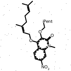 CCCC(C)COc1c(OCC=C(C)CCC=C(C)C)c2ccc([N+](=O)[O-])cc2n(C)c1=O